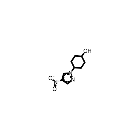 O=[N+]([O-])c1cnn(C2CCC(O)CC2)c1